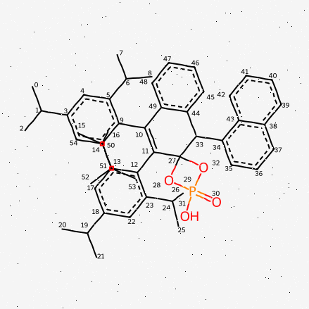 CC(C)c1cc(C(C)C)c(C2=C(c3c(C(C)C)cc(C(C)C)cc3C(C)C)C3(OP(=O)(O)O3)C(c3cccc4ccccc34)c3ccccc32)c(C(C)C)c1